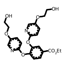 CCOC(=O)c1ccc(Oc2ccc(OCCO)cn2)c(Oc2ccc(OCCO)cn2)c1